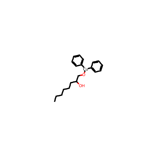 CCCCCCC(O)C[O][Cu]([c]1ccccc1)[c]1ccccc1